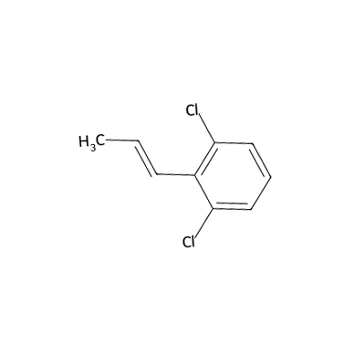 C/C=C/c1c(Cl)cccc1Cl